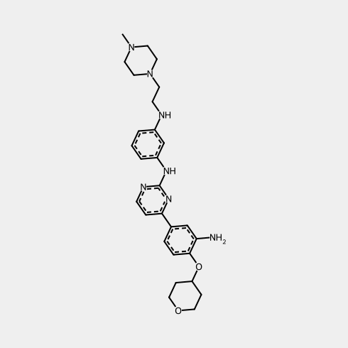 CN1CCN(CCNc2cccc(Nc3nccc(-c4ccc(OC5CCOCC5)c(N)c4)n3)c2)CC1